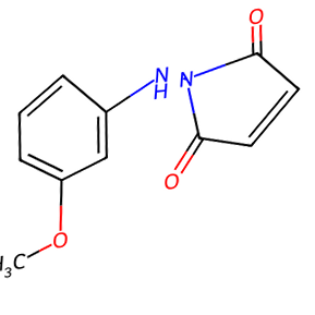 COc1cccc(NN2C(=O)C=CC2=O)c1